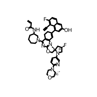 C#Cc1c(F)ccc2cc(O)cc(C3=Cc4nc(OC[C@]5(C)C[C@@H](F)CN5c5ccc(N6CCOC[C@H]6C)nc5)nc(N5CCCCC(NC(=O)C=C)C5)c4CC3)c12